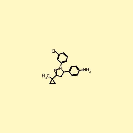 CC1(C2=NN(c3cccc(Cl)c3)C(c3ccc(N)cc3)C2)CC1